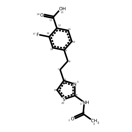 CC(=O)Nc1nc(CCc2ccc(C(=O)O)c(F)c2)cs1